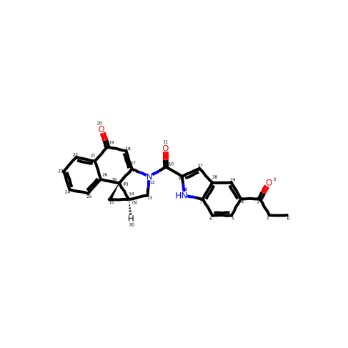 CCC(=O)c1ccc2[nH]c(C(=O)N3C[C@H]4C[C@@]45C3=CC(=O)c3ccccc35)cc2c1